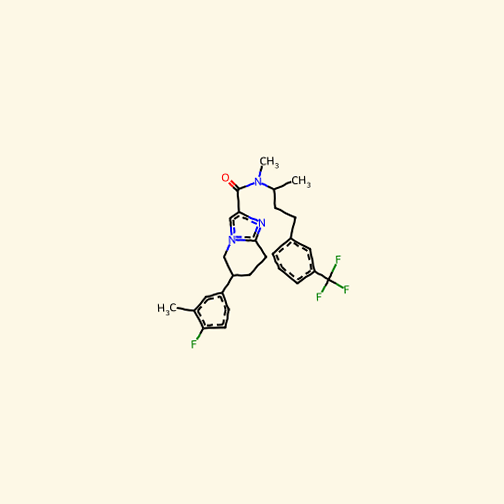 Cc1cc(C2CCc3nc(C(=O)N(C)C(C)CCc4cccc(C(F)(F)F)c4)cn3C2)ccc1F